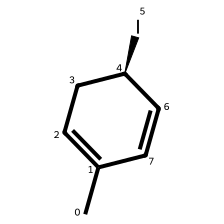 CC1=CC[C@@H](I)C=C1